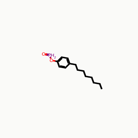 CCCCCCCCc1ccc(O[PH2]=O)cc1